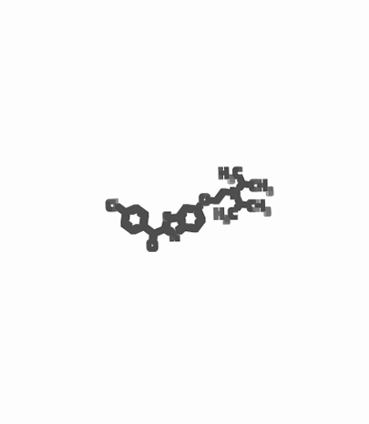 CC(C)N(CCOc1ccc2nc(C(=O)c3ccc(Cl)cc3)sc2c1)C(C)C